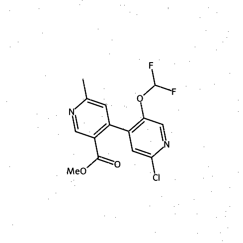 COC(=O)c1cnc(C)cc1-c1cc(Cl)ncc1OC(F)F